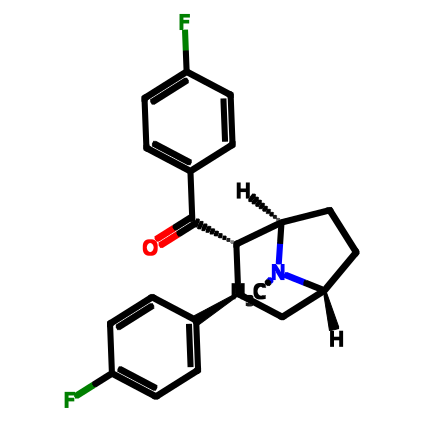 CN1[C@@H]2CC[C@@H]1[C@@H](C(=O)c1ccc(F)cc1)[C@H](c1ccc(F)cc1)C2